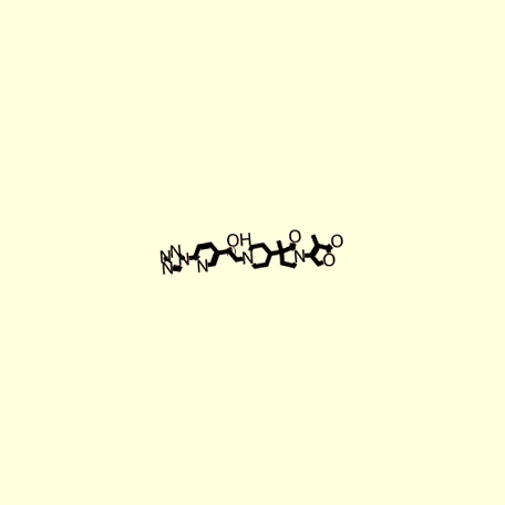 CC1=C(N2CCC(C)(C3CCN(C[C@H](O)c4ccc(-n5cnnn5)nc4)CC3)C2=O)COC1=O